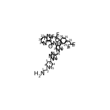 NCCN1CCC(n2nnc(Cn3cc(NC(=O)c4cnn5cccnc45)c(-c4cc(CC(F)F)ccc4OC(F)F)n3)n2)CC1